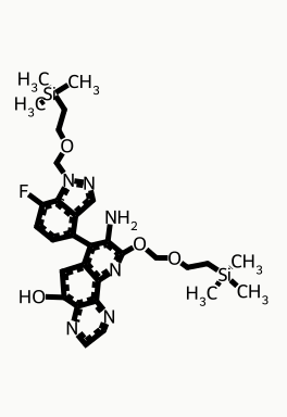 C[Si](C)(C)CCOCOc1nc2c(cc(O)c3nccnc32)c(-c2ccc(F)c3c2cnn3COCC[Si](C)(C)C)c1N